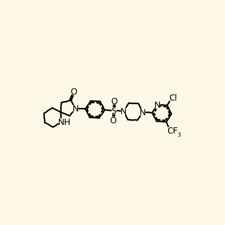 O=C1CC2(CCCCN2)CN1c1ccc(S(=O)(=O)N2CCN(c3cc(C(F)(F)F)cc(Cl)n3)CC2)cc1